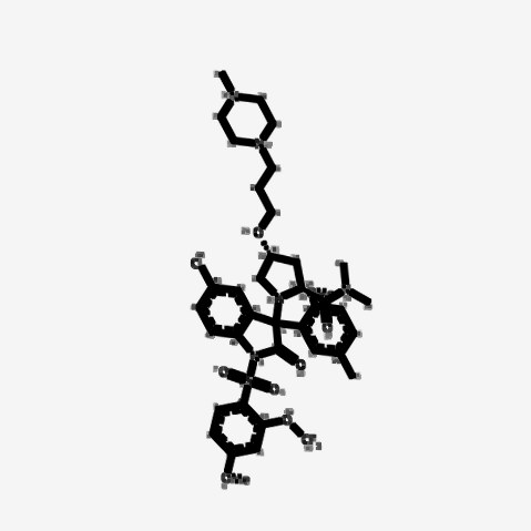 COc1ccc(S(=O)(=O)N2C(=O)C(c3cc(C)ccc3OC)(N3C[C@H](OCCCN4CCN(C)CC4)C[C@H]3C(=O)N(C)C)c3cc(Cl)ccc32)c(OC(F)(F)F)c1